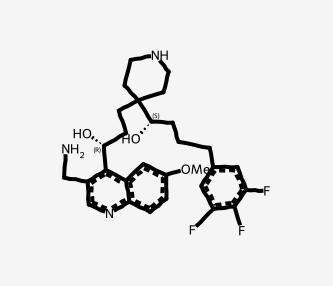 COc1ccc2ncc(CN)c([C@H](O)CCC3([C@@H](O)CCCc4cc(F)c(F)c(F)c4)CCNCC3)c2c1